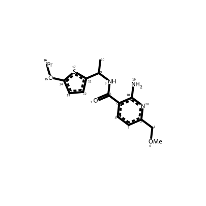 COCc1ccc(C(=O)NC(C)c2ccc(OC(C)C)s2)c(N)n1